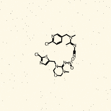 C/C(=N\C#N)N(C)Cc1ccc(Cl)nc1.CN1COCN(Cc2cnc(Cl)s2)/C1=N/[N+](=O)[O-]